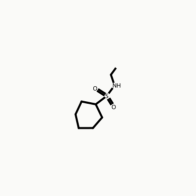 CCNS(=O)(=O)C1CCCCC1